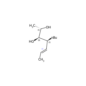 C/C=C/[C@H](CCCC)[C@@H](O)[C@H](C)O